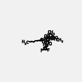 CCCCCCCCCOC(=O)Oc1c2n(cc(C(=O)NCc3ccc(F)cc3F)c1=O)[C@@H]1CN(C2=O)[C@@H](C)CC[C@]12CC(OC)=NO2